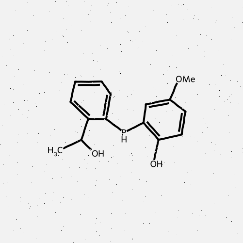 COc1ccc(O)c(Pc2ccccc2C(C)O)c1